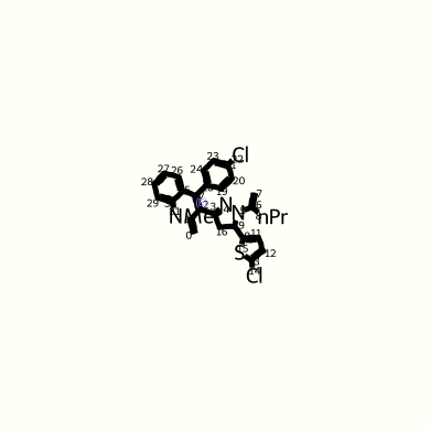 C=C/C(C1=NN(C(=C)CCC)C(c2ccc(Cl)s2)C1)=C(/c1ccc(Cl)cc1)c1ccccc1NC